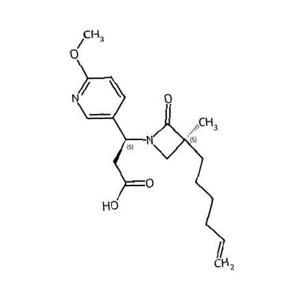 C=CCCCC[C@@]1(C)CN([C@@H](CC(=O)O)c2ccc(OC)nc2)C1=O